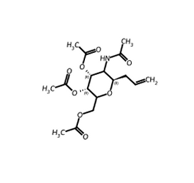 C=CC[C@H]1OC(COC(C)=O)[C@H](OC(C)=O)[C@H](OC(C)=O)C1NC(C)=O